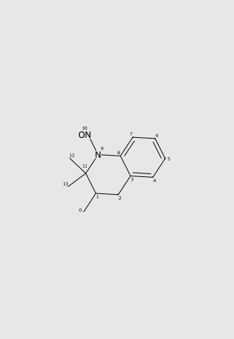 CC1Cc2ccccc2N(N=O)C1(C)C